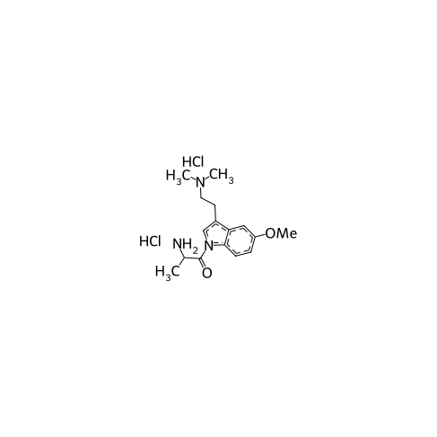 COc1ccc2c(c1)c(CCN(C)C)cn2C(=O)C(C)N.Cl.Cl